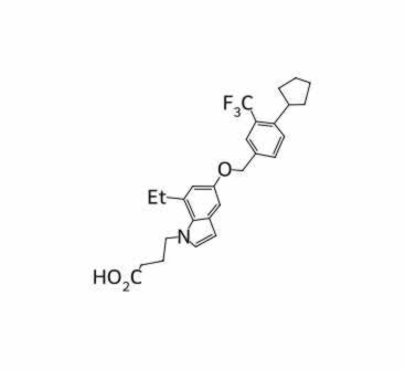 CCc1cc(OCc2ccc(C3CCCC3)c(C(F)(F)F)c2)cc2ccn(CCCC(=O)O)c12